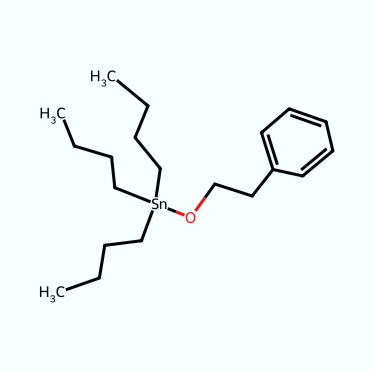 CCC[CH2][Sn]([CH2]CCC)([CH2]CCC)[O]CCc1ccccc1